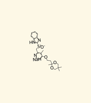 Cc1c(OCCC2(C)OCC(C)(C)CO2)ccnc1C[S+]([O-])c1nc2ccccc2[nH]1.[NaH]